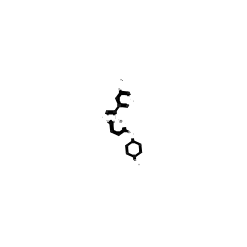 COc1cncc(-c2cnc3ccc(NC4CCC(O)CC4)nn23)c1